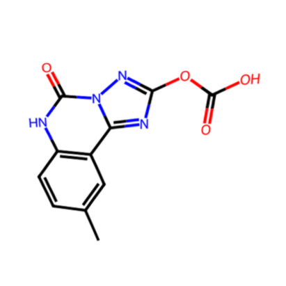 Cc1ccc2[nH]c(=O)n3nc(OC(=O)O)nc3c2c1